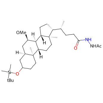 CO[C@@H]1C[C@@H]2CC(O[Si](C)(C)C(C)(C)C)CC[C@]2(C)[C@H]2CC[C@]3(C)[C@@H]([C@H](C)CCC(=O)NNC(C)=O)CC[C@H]3[C@H]12